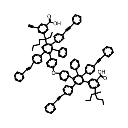 C#Cc1cc(C(=O)O)cc(C(CC)(CCCC)c2cc(-c3ccc(C#Cc4ccccc4)cc3)c(-c3ccc(Oc4ccc(-c5c(-c6ccc(C#Cc7ccccc7)cc6)cc(-c6cc(C(=O)O)cc(C(C)(CCC)CCC)c6)c(-c6ccc(C#Cc7ccccc7)cc6)c5-c5ccccc5)cc4)cc3)c(-c3ccccc3)c2-c2ccc(C#Cc3ccccc3)cc2)c1